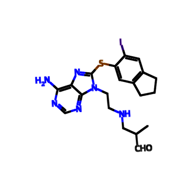 CC(C=O)CNCCn1c(Sc2cc3c(cc2I)CCC3)nc2c(N)ncnc21